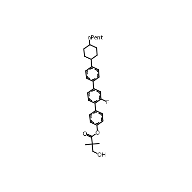 CCCCCC1CCC(c2ccc(-c3ccc(-c4ccc(OC(=O)C(C)(C)CO)cc4)c(F)c3)cc2)CC1